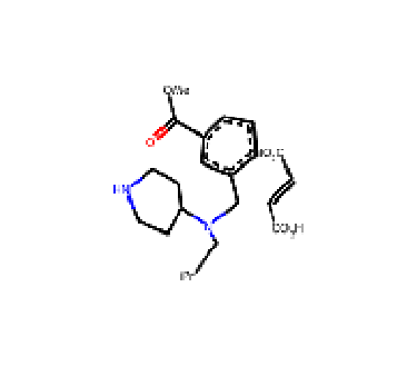 COC(=O)c1cccc(CN(CC(C)C)C2CCNCC2)c1.O=C(O)C=CC(=O)O